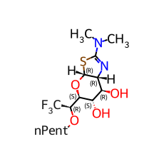 CCCCCO[C@H]([C@H]1O[C@@H]2SC(N(C)C)=N[C@@H]2[C@@H](O)[C@@H]1O)C(F)(F)F